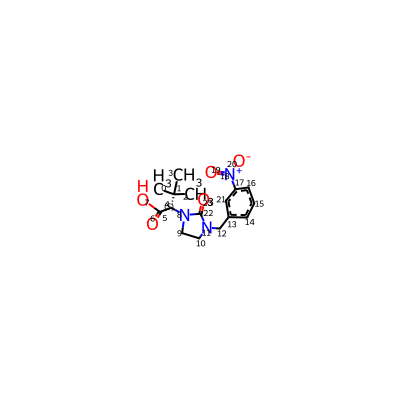 CC(C)(C)[C@@H](C(=O)O)N1CCN(Cc2cccc([N+](=O)[O-])c2)C1=O